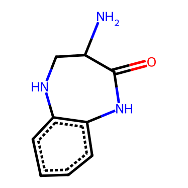 NC1CNc2ccccc2NC1=O